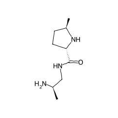 C[C@@H]1CC[C@@H](C(=O)NC[C@@H](C)N)N1